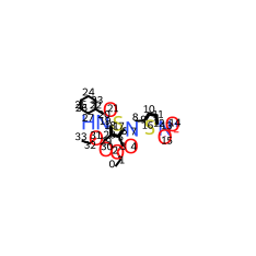 CCOC(=O)c1c(N=Cc2ccc([N+](=O)[O-])s2)sc(NC(=O)C2CCCCC2)c1C(=O)OCC